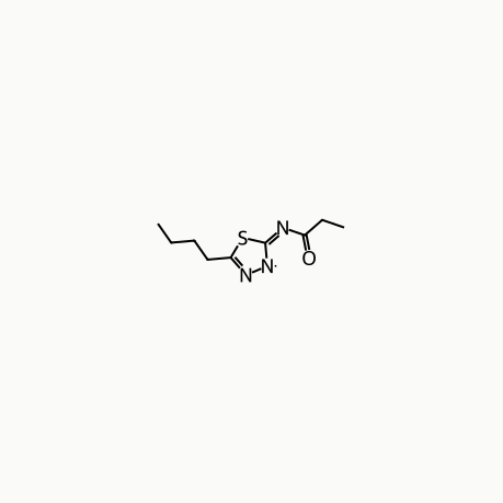 CCCCC1=N[N]C(=NC(=O)CC)S1